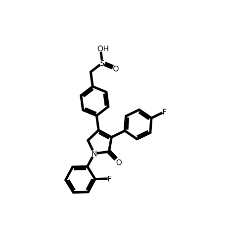 O=C1C(c2ccc(F)cc2)=C(c2ccc(CS(=O)O)cc2)CN1c1ccccc1F